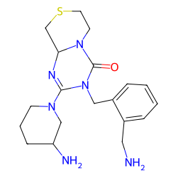 NCc1ccccc1CN1C(=O)N2CCSCC2N=C1N1CCCC(N)C1